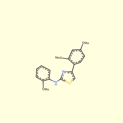 COc1ccc(-c2csc(Nc3ccccc3OC)n2)c(OC)c1